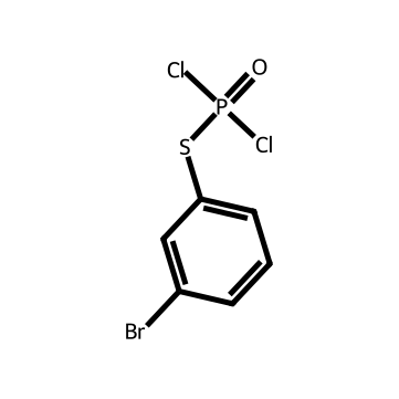 O=P(Cl)(Cl)Sc1cccc(Br)c1